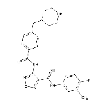 Cc1cc(NC(=N)c2nonc2NC(=O)c2ccc(CN3CCNCC3)cc2)ccc1F